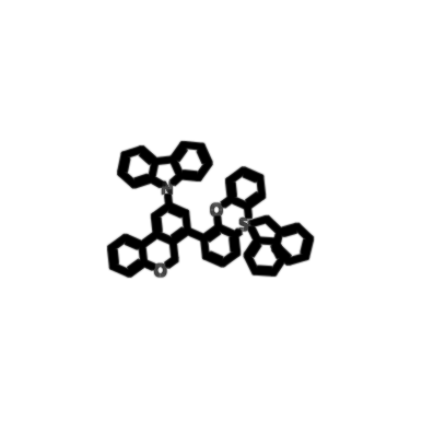 c1ccc(C[Si]2(c3ccccc3)c3ccccc3Oc3c(-c4cc(-n5c6ccccc6c6ccccc65)cc5c4COc4ccccc4-5)cccc32)cc1